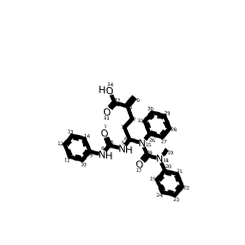 C=C(CCC(NC(=O)Nc1ccccc1)N(C(=O)N(C)c1ccccc1)c1ccccc1)C(=O)O